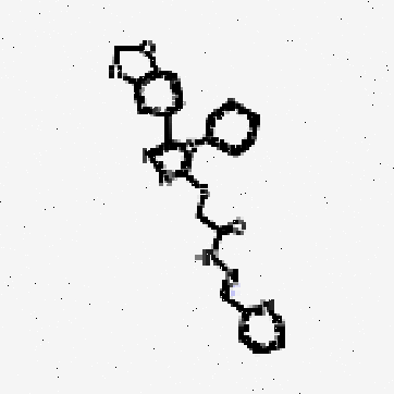 O=C(CSc1nnc(-c2ccc3c(c2)OCO3)n1-c1ccccc1)N/N=C/c1ccccn1